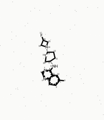 Cc1ccc2ncnc(N[C@H]3CC[C@@H](N4CC(F)C4)CC3)c2c1